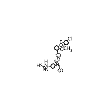 CC1(c2ccc(Cl)cc2F)Oc2cccc(C3CCN(Cc4nc5cc(-c6nnc(S)[nH]6)ccc5n4CC4CCO4)CC3)c2O1